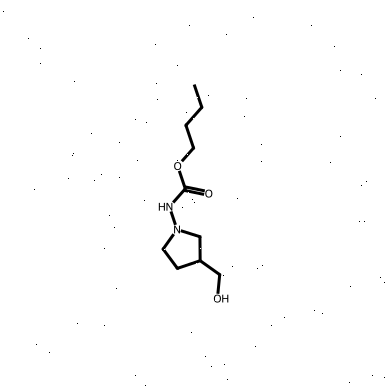 CCCCOC(=O)NN1CCC(CO)C1